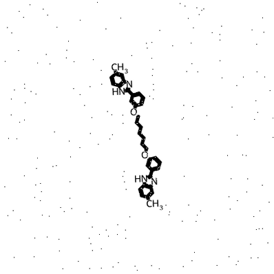 Cc1ccc2[nH]c(-c3cccc(OCCCCCCCOc4cccc(-c5nc6cc(C)ccc6[nH]5)c4)c3)nc2c1